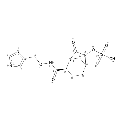 O=C(NOCc1c[nH]cn1)[C@@H]1CCC2CN1C(=O)N2OS(=O)(=O)O